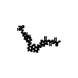 CC(=O)NCCNCc1cc2nc(OCc3cccc(-c4cccc(COc5ccc6[nH]c(CNCCNC(C)=O)cc6n5)c4C)c3C)ccc2[nH]1